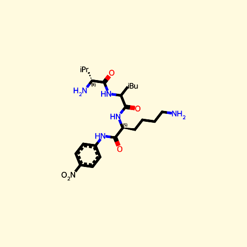 CCC(C)C(NC(=O)[C@H](N)C(C)C)C(=O)N[C@@H](CCCCN)C(=O)Nc1ccc([N+](=O)[O-])cc1